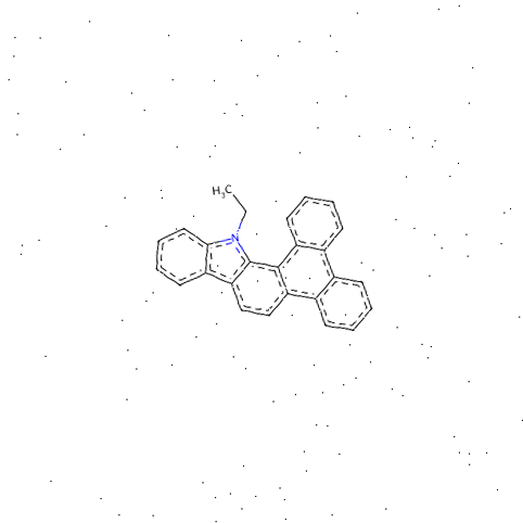 CCn1c2ccccc2c2ccc3c4ccccc4c4ccccc4c3c21